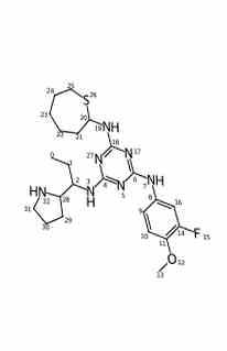 CCC(Nc1nc(Nc2ccc(OC)c(F)c2)nc(NC2CCCCCS2)n1)C1CCCN1